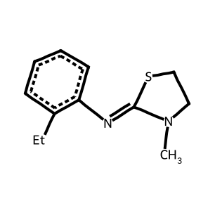 CCc1ccccc1N=C1SCCN1C